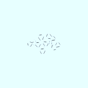 c1ccc(-c2cc(N(c3cccc4ccccc34)c3cccc4ccccc34)cc(-c3ccccc3)c2-c2ccc3c(c2)oc2ccccc23)cc1